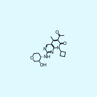 CC(=O)c1c(C)c2cnc(N[C@H]3CCOC[C@@H]3O)nc2n(C2CCC2)c1=O